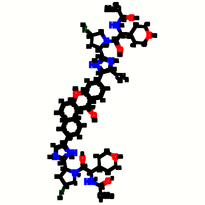 COC(=O)N[C@H](C(=O)N1C[C@H](F)C[C@H]1c1ncc(-c2ccc3c(ccc4oc5cc(-c6[nH]c([C@@H]7C[C@@H](F)CN7C(=O)[C@@H](NC(=O)OC)C7CCOCC7)nc6C)ccc5c(=O)c43)c2)[nH]1)C1CCOCC1